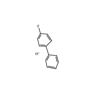 Fc1ccc(-c2cc[c]cc2)cc1.[H+]